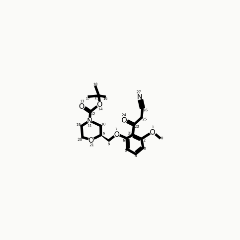 COc1cccc(OC[C@@H]2CN(C(=O)OC(C)(C)C)CCO2)c1C(=O)CC#N